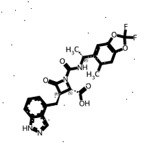 CC1CC2=C(C=C1[C@@H](C)NC(=O)N1C(=O)[C@H](Cc3cccc4[nH]ncc34)[C@H]1C(=O)O)OC(F)(F)O2